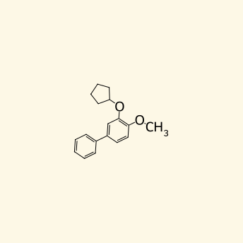 COc1ccc(-c2ccccc2)cc1OC1CCCC1